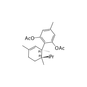 CC(=O)Oc1cc(C)cc(OC(C)=O)c1[C@]1(C)C=C(C)CC[C@]1(C)C(C)C